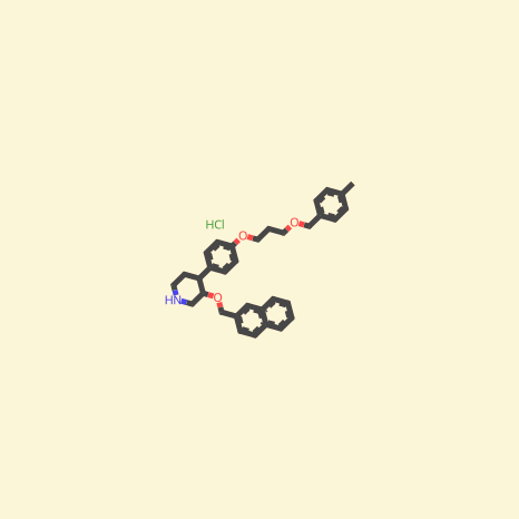 Cc1ccc(COCCCOc2ccc(C3CCNCC3OCc3ccc4ccccc4c3)cc2)cc1.Cl